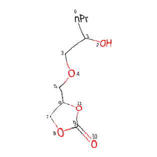 CCCC(O)COCC1COC(=O)O1